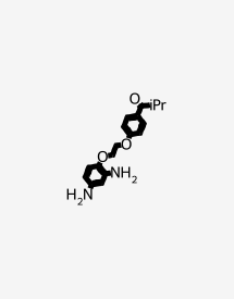 CC(C)C(=O)c1ccc(OCCOc2ccc(N)cc2N)cc1